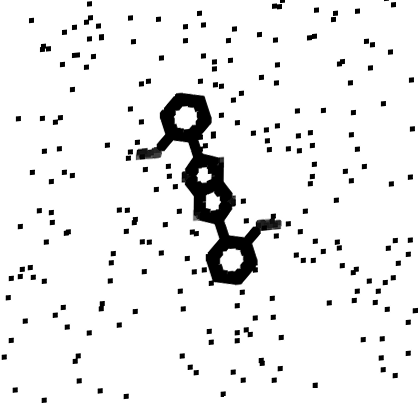 COc1ccccc1-c1nc2sc(-c3ccccc3OC)nc2s1